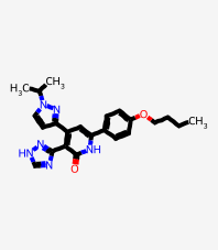 CCCCOc1ccc(-c2cc(-c3ccn(C(C)C)n3)c(-c3nc[nH]n3)c(=O)[nH]2)cc1